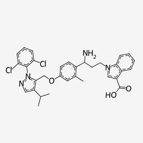 Cc1cc(OCc2c(C(C)C)cnn2-c2c(Cl)cccc2Cl)ccc1C(N)CCn1cc(C(=O)O)c2ccccc21